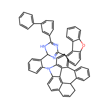 C1=Cc2ccc3c4c2C(C1)c1ccccc1-c1cccc(c14)n3-c1ccccc1C1N=C(c2cccc3oc4ccccc4c23)N=C(c2cccc(-c3ccccc3)c2)N1